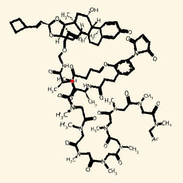 CC(=O)CN(C)C(=O)CN(C)C(=O)CN(C)C(=O)CN(C)C(=O)CN(C)C(=O)CN(C)C(=O)CN(C)C(=O)CN(C)C(=O)CN(C)C(=O)CN(C)C(=O)CCCOc1cc(N2C(=O)C=CC2=O)ccc1CCC(=O)N[C@@H](C)C(=O)N[C@@H](C)C(=O)NCOCC(=O)[C@@]12O[C@H](/C=C/C3CCC3)O[C@@H]1C[C@H]1[C@@H]3CCC4=CC(=O)C=C[C@]4(C)[C@H]3[C@@H](O)C[C@@]12C